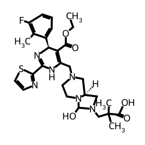 CCOC(=O)C1=C(CN2CCN3C(O)N(CC(C)(C)C(=O)O)C[C@@H]3C2)NC(c2nccs2)=N[C@H]1c1cccc(F)c1C